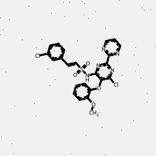 COc1ccccc1Oc1c(Cl)nc(-c2ncccn2)nc1NS(=O)(=O)/C=C/c1cccc(Cl)c1